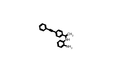 C=C(Nc1ccccc1N)c1ccc(C#Cc2ccccc2)cc1